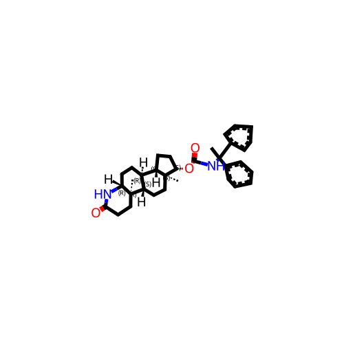 CC(NC(=O)O[C@H]1CC[C@H]2[C@@H]3CC[C@H]4NC(=O)CC[C@]4(C)[C@H]3CC[C@]12C)(c1ccccc1)c1ccccc1